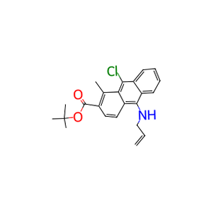 C=CCNc1c2ccccc2c(Cl)c2c(C)c(C(=O)OC(C)(C)C)ccc12